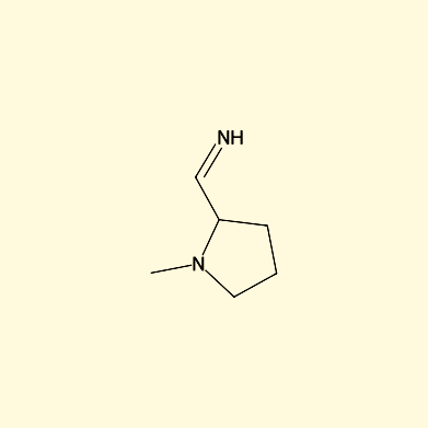 CN1CCCC1C=N